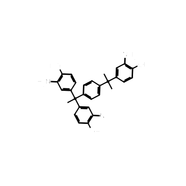 CC(C)(c1ccc(C(C)(c2ccc(O)c(N)c2)c2ccc(O)c(N)c2)cc1)c1ccc(O)c(N)c1